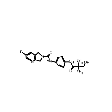 CC(C)(CO)C(=O)Nc1ccc(NC(=O)N2Cc3cc(F)cnc3C2)cc1